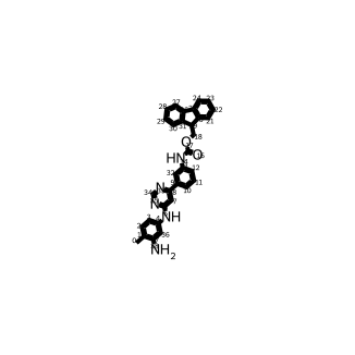 Cc1ccc(Nc2cc(-c3cccc(NC(=O)OCC4c5ccccc5-c5ccccc54)c3)ncn2)cc1N